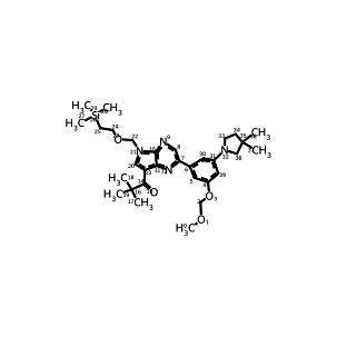 COCOc1cc(-c2cnc3c(n2)c(C(=O)C(C)(C)C)cn3COCC[Si](C)(C)C)cc(N2CCC(C)(C)C2)c1